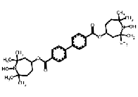 CC1(C)CCC(OC(=O)c2ccc(-c3ccc(C(=O)OC4CCC(C)(C)N(O)C(C)(C)C4)cc3)cc2)CC(C)(C)N1O